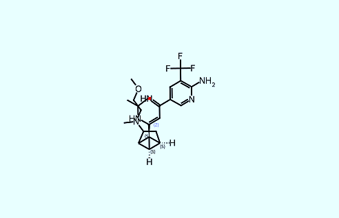 COCCN(C)C1C[C@H]2[C@H]3C1[C@@]32/C(=C/C(=N)c1cnc(N)c(C(F)(F)F)c1)NC(C)C